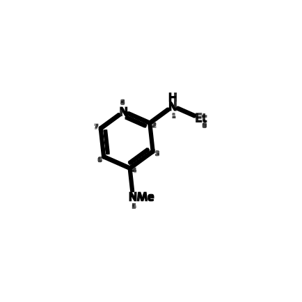 CCNc1cc(NC)ccn1